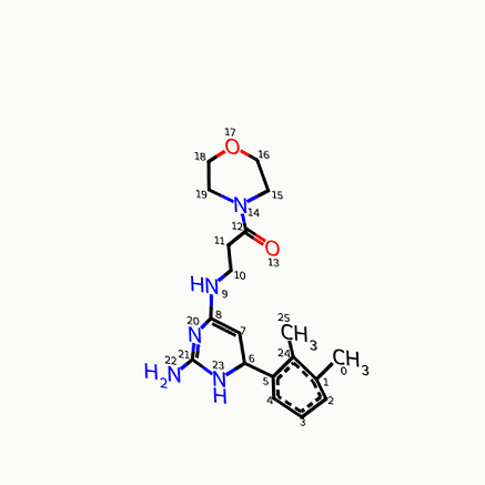 Cc1cccc(C2C=C(NCCC(=O)N3CCOCC3)N=C(N)N2)c1C